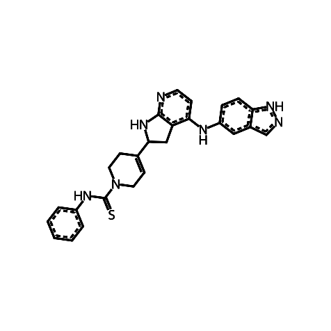 S=C(Nc1ccccc1)N1CC=C(C2Cc3c(Nc4ccc5[nH]ncc5c4)ccnc3N2)CC1